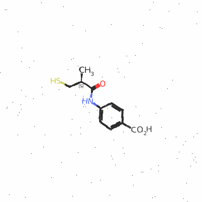 C[C@H](CS)C(=O)Nc1ccc(C(=O)O)cc1